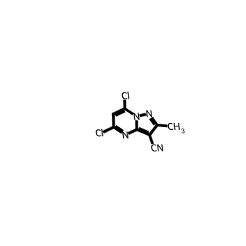 Cc1nn2c(Cl)cc(Cl)nc2c1C#N